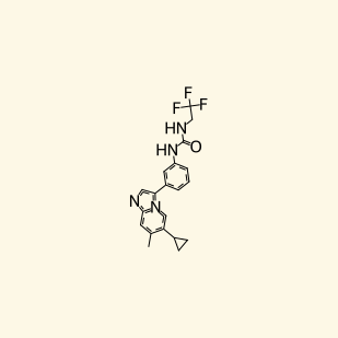 Cc1cc2ncc(-c3cccc(NC(=O)NCC(F)(F)F)c3)n2cc1C1CC1